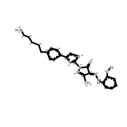 CCOc1ccccc1N/N=C1/C(=O)N(c2nc(-c3ccc(CCCCCN)cc3)cs2)N=C1C